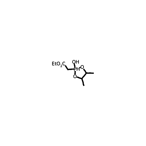 CCOC(=O)C[PH]1(O)OC(C)C(C)O1